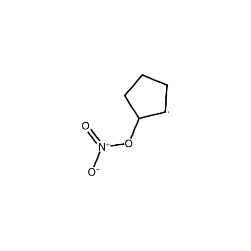 O=[N+]([O-])OC1[CH]CCC1